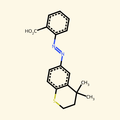 CC1(C)CCSc2ccc(/N=N/c3ccccc3C(=O)O)cc21